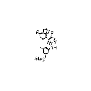 CSCc1cc(C)cc(Nc2ncc(F)c(-c3ccc(F)c4ccoc34)n2)c1